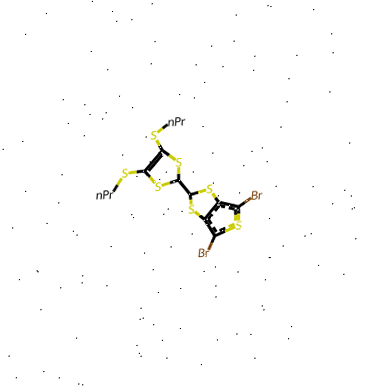 CCCSC1=C(SCCC)SC(C2Sc3c(Br)sc(Br)c3S2)S1